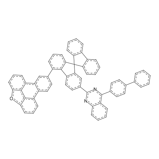 c1ccc(-c2ccc(-c3nc(-c4ccc5c(c4)C4(c6ccccc6-c6ccccc64)c4cccc(-c6ccc7c(c6)c6cccc8oc9cccc7c9c86)c4-5)nc4ccccc34)cc2)cc1